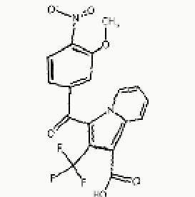 COc1cc(C(=O)c2c(C(F)(F)F)c(C(=O)O)c3ccccn23)ccc1[N+](=O)[O-]